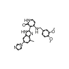 COc1ccc(CNc2cc[nH]c(=O)c2-c2nc3c(C)cc(-n4ccnc4)cc3[nH]2)cc1OC